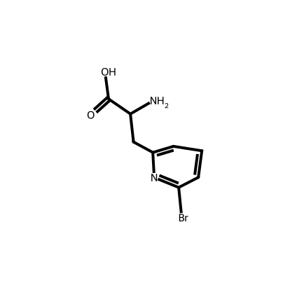 NC(Cc1cccc(Br)n1)C(=O)O